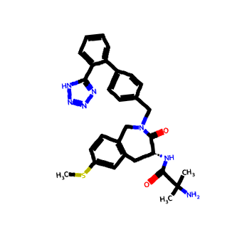 CSc1ccc2c(c1)C[C@@H](NC(=O)C(C)(C)N)C(=O)N(Cc1ccc(-c3ccccc3-c3nnn[nH]3)cc1)C2